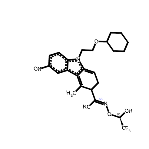 CC1=c2c(n(CCOC3CCCCC3)c3ccc(N=O)cc23)=CCC1/C(C#N)=N/O[C@@H](O)C(F)(F)F